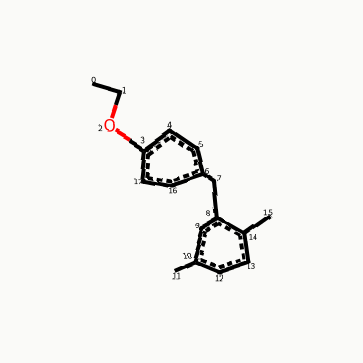 CCOc1ccc(Cc2cc(C)ccc2C)cc1